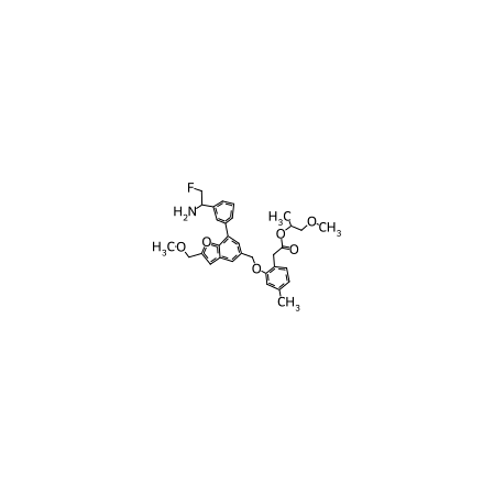 COCc1cc2cc(COc3cc(C)ccc3CC(=O)OC(C)COC)cc(-c3cccc(C(N)CF)c3)c2o1